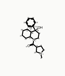 CN1CCC(C(=O)N2CC[C@@](O)(c3ccccc3)[C@@H]3CCCCC32)C1